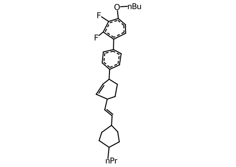 CCCCOc1ccc(-c2ccc(C3C=CC(/C=C/C4CCC(CCC)CC4)CC3)cc2)c(F)c1F